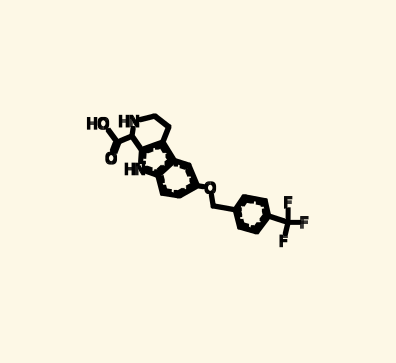 O=C(O)C1NCCc2c1[nH]c1ccc(OCc3ccc(C(F)(F)F)cc3)cc21